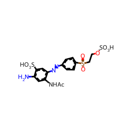 CC(=O)Nc1cc(N)c(S(=O)(=O)O)cc1N=Nc1ccc(S(=O)(=O)CCOS(=O)(=O)O)cc1